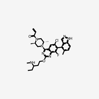 C=CC(=O)N1C[C@H](C)N(c2nc(OCCC(CC)NC)nc3c(F)c(-c4c(C)ccc5[nH]ncc45)c(Cl)cc23)C[C@H]1C